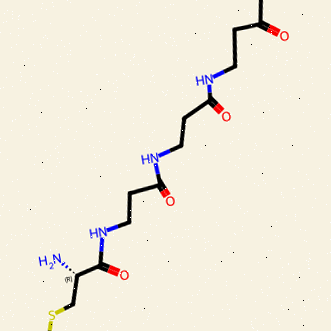 CSC[C@H](N)C(=O)NCCC(=O)NCCC(=O)NCCC(C)=O